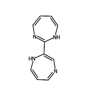 C1=CN=C(C2=CN=CC=CN2)NC=C1